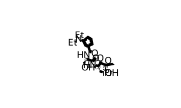 CCN(CC)c1cccc(C(=O)N[C@@H](CO)C(=O)N[C@@H](CC(C)C)C(=O)[C@@]2(CO)CO2)c1